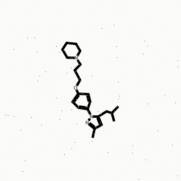 Cc1cc(CC(C)C)n(-c2ccc(OCCCN3CCCCC3)cc2)n1